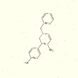 CC1=C(c2ccc([N+](=O)[O-])cc2)CN(Cc2ccccc2)C=C1